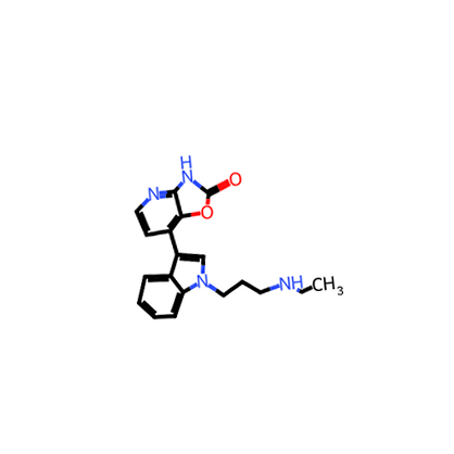 CCNCCCn1cc(-c2ccnc3[nH]c(=O)oc23)c2ccccc21